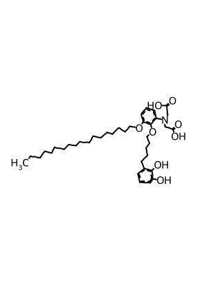 CCCCCCCCCCCCCCCCCCOc1cccc(N(CC(=O)O)CC(=O)O)c1OCCCCCc1cccc(O)c1O